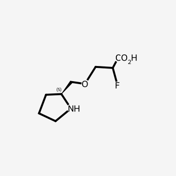 O=C(O)C(F)COC[C@@H]1CCCN1